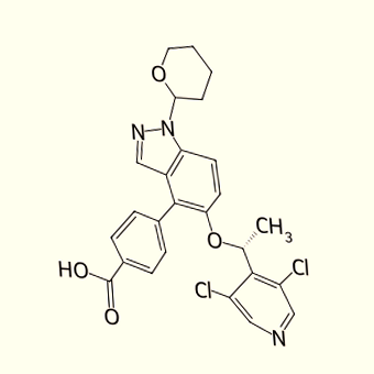 C[C@@H](Oc1ccc2c(cnn2C2CCCCO2)c1-c1ccc(C(=O)O)cc1)c1c(Cl)cncc1Cl